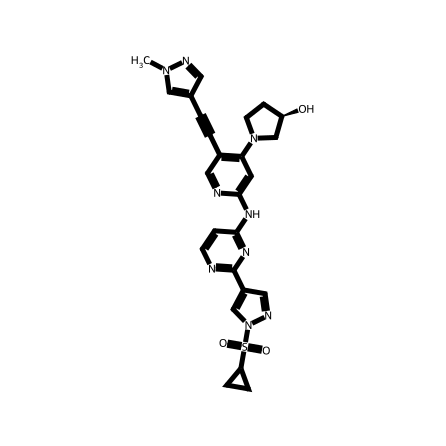 Cn1cc(C#Cc2cnc(Nc3ccnc(-c4cnn(S(=O)(=O)C5CC5)c4)n3)cc2N2CC[C@@H](O)C2)cn1